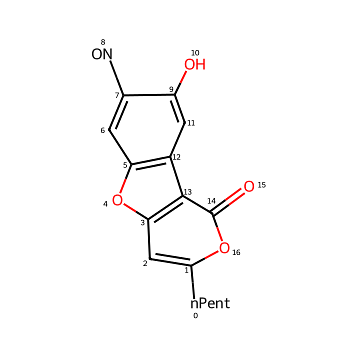 CCCCCc1cc2oc3cc(N=O)c(O)cc3c2c(=O)o1